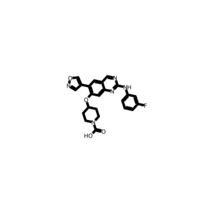 O=C(O)N1CCC(Oc2cc3nc(Nc4cccc(F)c4)ncc3cc2-c2cnoc2)CC1